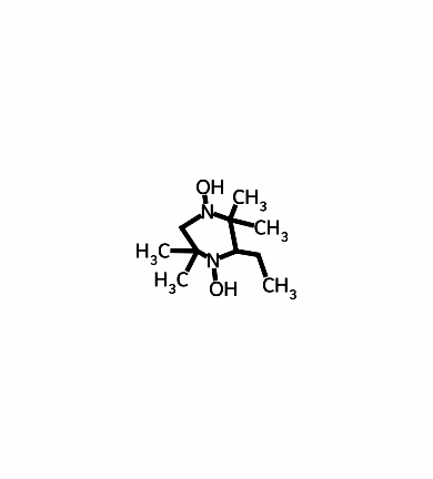 CCC1N(O)C(C)(C)CN(O)C1(C)C